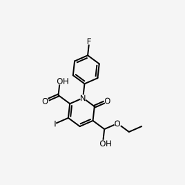 CCOC(O)c1cc(I)c(C(=O)O)n(-c2ccc(F)cc2)c1=O